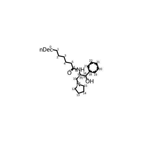 CCCCCCCCCCCCCCCC(=O)N[C@H](CN1CCCC1)[C@H](O)c1ccccc1